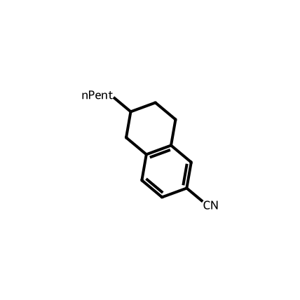 CCCCCC1CCc2cc(C#N)ccc2C1